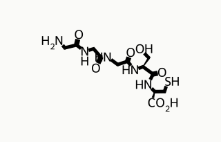 NCC(=O)NCC(=O)NCC(=O)N[C@@H](CO)C(=O)N[C@@H](CS)C(=O)O